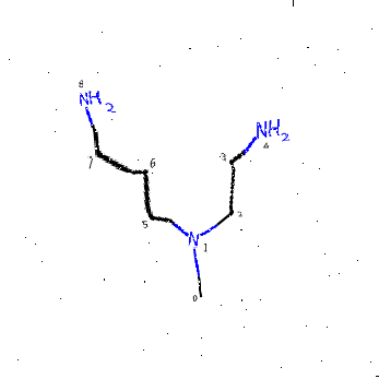 CN(CCN)CCCN